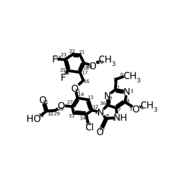 CCc1nc(OC)c2[nH]c(=O)n(-c3cc(OCc4c(OC)ccc(F)c4F)c(OCC(=O)O)cc3Cl)c2n1